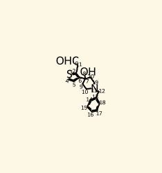 O=CCc1sccc1C1(O)CCN(Cc2ccccc2)CC1